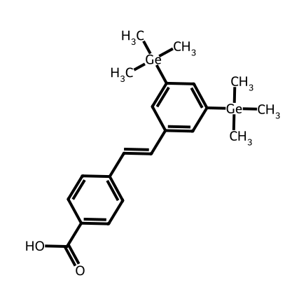 [CH3][Ge]([CH3])([CH3])[c]1cc(C=Cc2ccc(C(=O)O)cc2)c[c]([Ge]([CH3])([CH3])[CH3])c1